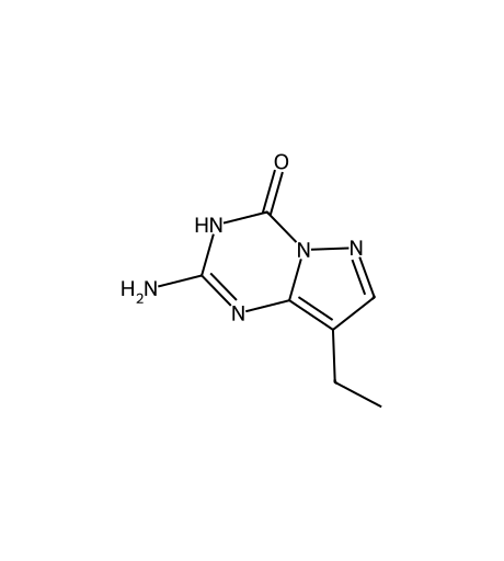 CCc1cnn2c(=O)[nH]c(N)nc12